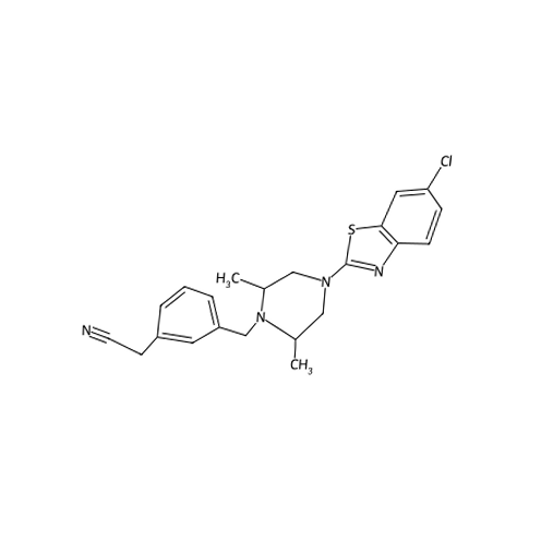 CC1CN(c2nc3ccc(Cl)cc3s2)CC(C)N1Cc1cccc(CC#N)c1